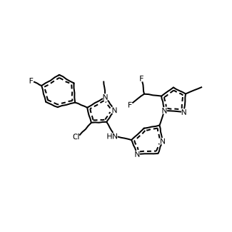 Cc1cc(C(F)F)n(-c2cc(Nc3nn(C)c(-c4ccc(F)cc4)c3Cl)ncn2)n1